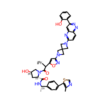 Cc1ncsc1-c1ccc([C@H](C)NC(=O)[C@@H]2C[C@@H](O)CN2C(=O)C(c2cc(N3CC4(C3)CN(c3ccc5nnc(-c6ccccc6O)cc5n3)C4)no2)C(C)C)cc1